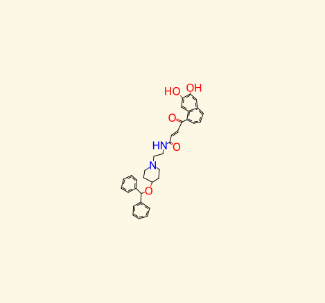 O=C(C=CC(=O)c1cccc2cc(O)c(O)cc12)NCCN1CCC(OC(c2ccccc2)c2ccccc2)CC1